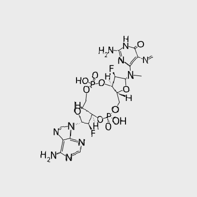 C=Nc1c(N(C)[C@@H]2O[C@@H]3COP(=O)(O)O[C@H]4[C@@H](F)[C@H](n5cnc6c(N)ncnc65)O[C@@H]4COP(=O)(O)O[C@H]3[C@H]2F)nc(N)[nH]c1=O